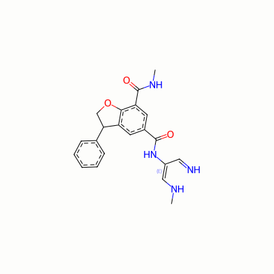 CN/C=C(\C=N)NC(=O)c1cc(C(=O)NC)c2c(c1)C(c1ccccc1)CO2